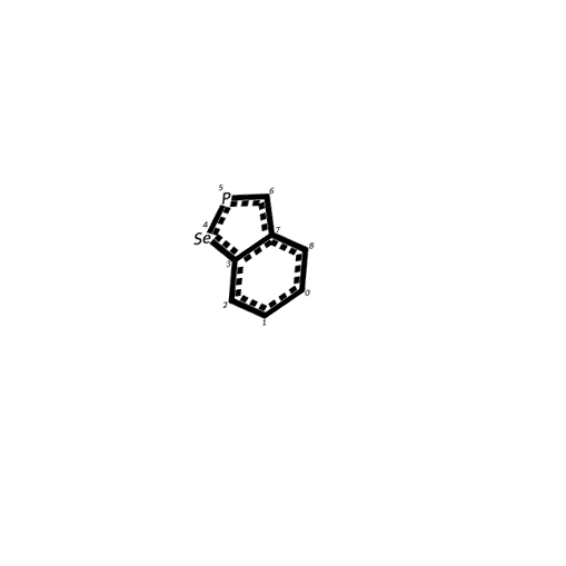 c1ccc2[se]pcc2c1